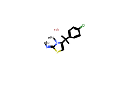 Br.CCCCN=c1scc(C(C)(C)c2ccc(Cl)cc2)n1CCCC